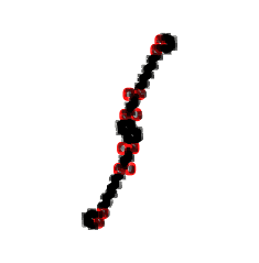 O=C(/C=C/C(=O)Oc1ccc2cc(OC(=O)/C=C/C(=O)OCCCCCCCCOC3CCC=CO3)ccc2c1)OCCCCCCCCOC1CCC=CO1